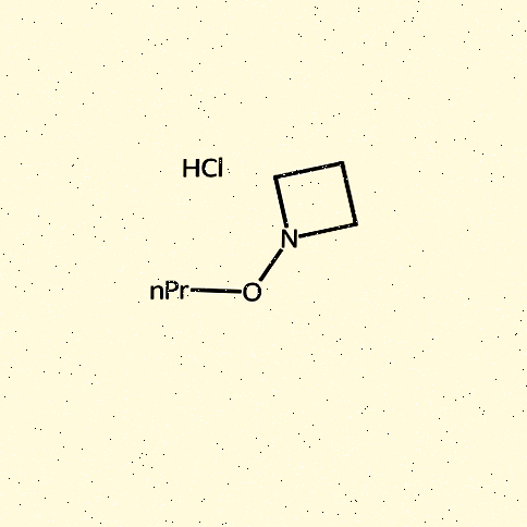 CCCON1CCC1.Cl